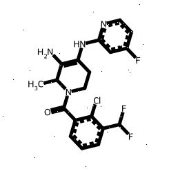 CC1C(N)=C(Nc2cc(F)ccn2)CCN1C(=O)c1cccc(C(F)F)c1Cl